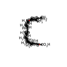 CN(C)CCCNC(=O)c1cc(NC(=O)c2cc(NC(=O)c3cc(NC(=O)c4cc(NC(O)CCCNC(=O)c5cc(NC(=O)c6nc(NC(=O)c7nc(NC(=O)c8cc(NC(=O)CCNC(=O)CCCCC(=O)O)cn8C)cn7C)cn6C)cn5C)cn4C)cn3C)cn2C)cn1C